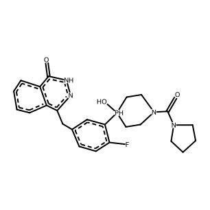 O=C(N1CCCC1)N1CC[PH](O)(c2cc(Cc3n[nH]c(=O)c4ccccc34)ccc2F)CC1